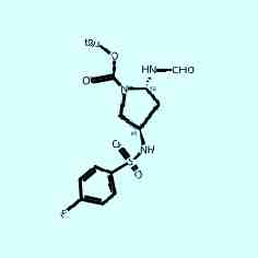 CC(C)(C)OC(=O)N1C[C@H](NS(=O)(=O)c2ccc(F)cc2)C[C@H]1NC=O